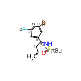 C=CC[C@H](N[S@+]([O-])C(C)(C)C)c1cc(F)cc(Br)c1